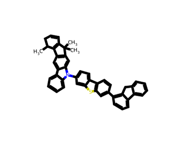 CC1CC=CC2=C1c1cc3c4ccccc4n(-c4ccc5c(c4)sc4cc(-c6cccc7c6Cc6ccccc6-7)ccc45)c3cc1C2(C)C